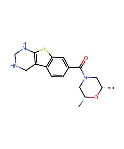 C[C@@H]1CN(C(=O)c2ccc3c4c(sc3c2)NCNC4)C[C@H](C)O1